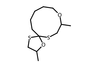 CC1CSC2(CCCCCO1)OC(C)CS2